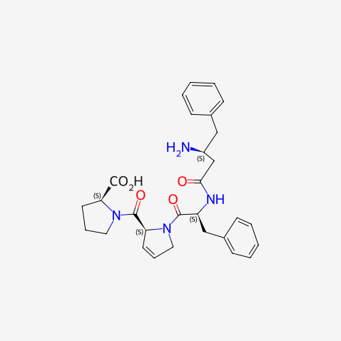 N[C@H](CC(=O)N[C@@H](Cc1ccccc1)C(=O)N1CC=C[C@H]1C(=O)N1CCC[C@H]1C(=O)O)Cc1ccccc1